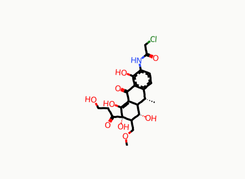 COCC1[C@@H](O)C2C(=C(O)[C@]1(O)C(=O)CCO)C(=O)c1c(ccc(NC(=O)CCl)c1O)[C@@H]2C